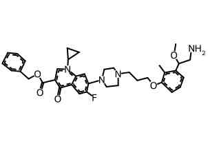 COC(CN)c1cccc(OCCCN2CCN(c3cc4c(cc3F)c(=O)c(C(=O)OCc3ccccc3)cn4C3CC3)CC2)c1C